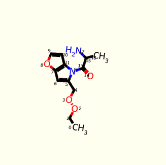 CCOOCc1cc2occc2n1C(=O)C(C)N